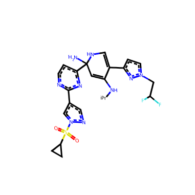 CC(C)NC1=CC(N)(c2ccnc(-c3cnn(S(=O)(=O)C4CC4)c3)n2)NC=C1c1ccn(CC(F)F)n1